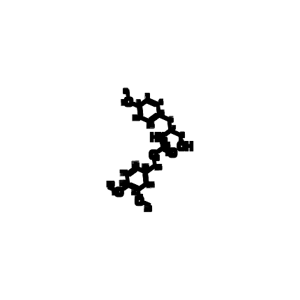 COc1ccc(CC(CO)NC(=O)OCc2ccc(OC)c(OC)c2)cc1